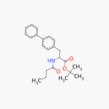 CCCC(=O)NC(Cc1ccc(-c2ccccc2)cc1)C(=O)OC(C)(C)C